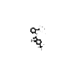 CC(N)c1ccccc1Sc1c[nH]c2cc(C(F)(F)F)ccc12